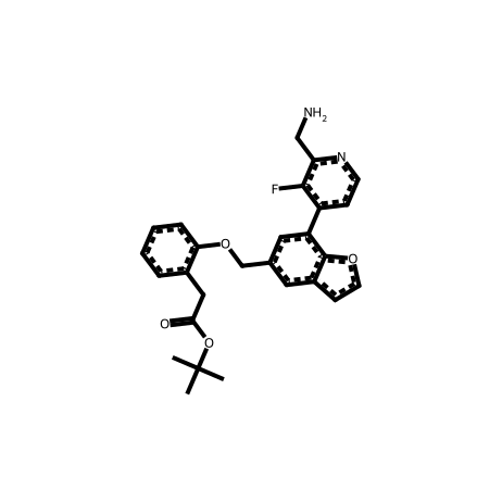 CC(C)(C)OC(=O)Cc1ccccc1OCc1cc(-c2ccnc(CN)c2F)c2occc2c1